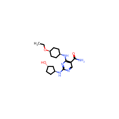 CCO[C@H]1CC[C@@H](Nc2nc(N[C@H]3CC[C@H](O)C3)ncc2C(N)=O)CC1